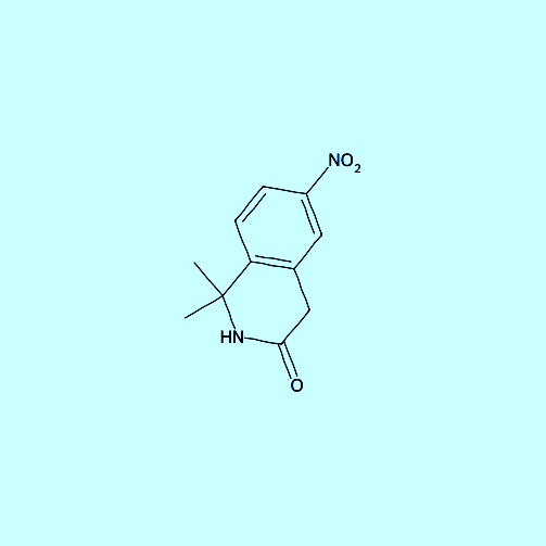 CC1(C)NC(=O)Cc2cc([N+](=O)[O-])ccc21